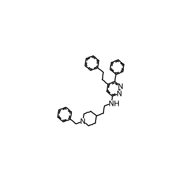 c1ccc(CCc2cc(NCCC3CCN(Cc4ccccc4)CC3)nnc2-c2ccccc2)cc1